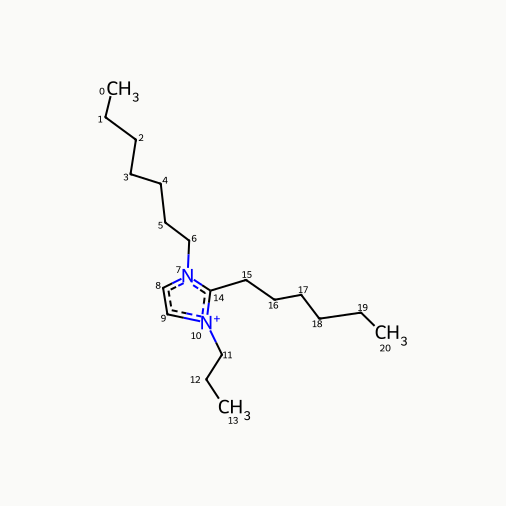 CCCCCCCn1cc[n+](CCC)c1CCCCCC